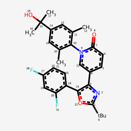 [CH2]C([CH2])(C)c1nc(-c2ccc(=O)n(-c3c(C)cc(C(C)(C)O)cc3C)c2)c(-c2ccc(F)cc2F)o1